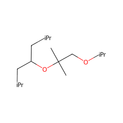 CC(C)CC(CC(C)C)OC(C)(C)COC(C)C